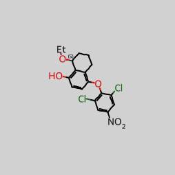 CCO[C@H]1CCCc2c(Oc3c(Cl)cc([N+](=O)[O-])cc3Cl)ccc(O)c21